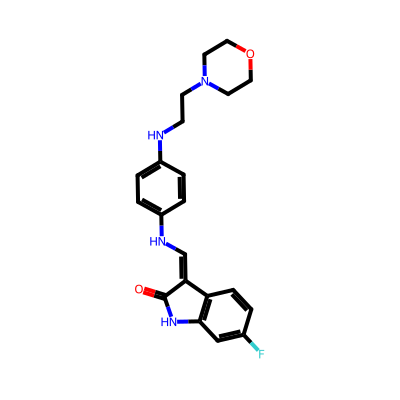 O=C1Nc2cc(F)ccc2C1=CNc1ccc(NCCN2CCOCC2)cc1